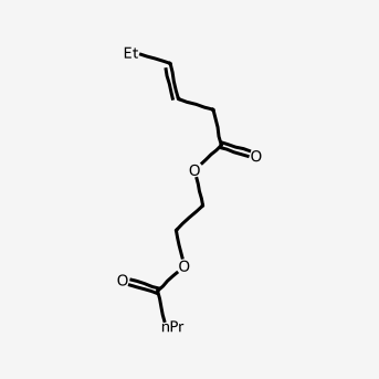 CCC=CCC(=O)OCCOC(=O)CCC